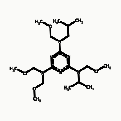 COCN(COC)c1nc(N(COC)CC(C)C)nc(N(COC)C(C)C)n1